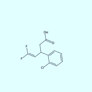 O=C(O)CC(C=C(F)F)c1ccccc1Cl